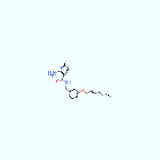 CCCC/C=C/COc1cccc(CNC(=O)c2ccc(C)nc2N)c1